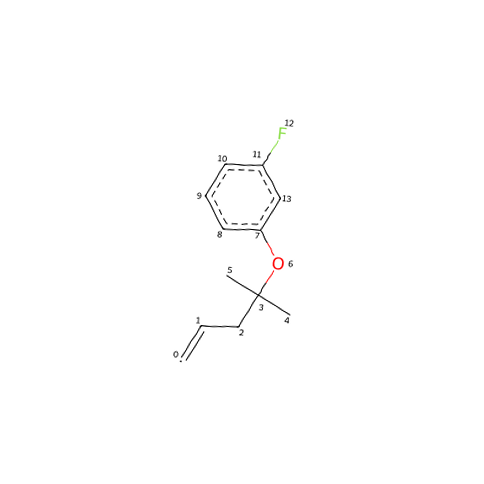 [CH]=CCC(C)(C)Oc1cccc(F)c1